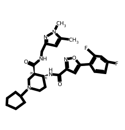 Cc1cc(CNC(=O)[C@@H]2CN(C3CCCCC3)CC[C@H]2NC(=O)c2cc(-c3ccc(F)cc3F)on2)nn1C